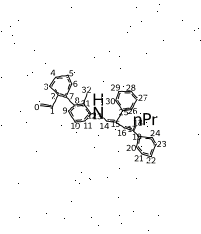 C=Cc1ccccc1-c1cccc(N/C=C(/C=C(\CCC)c2ccccc2)c2ccccc2)c1C